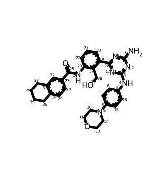 Nc1nc(Nc2ccc(N3CCOCC3)cc2)nc(-c2cccc(NC(=O)c3ccc4c(c3)CCCC4)c2CO)n1